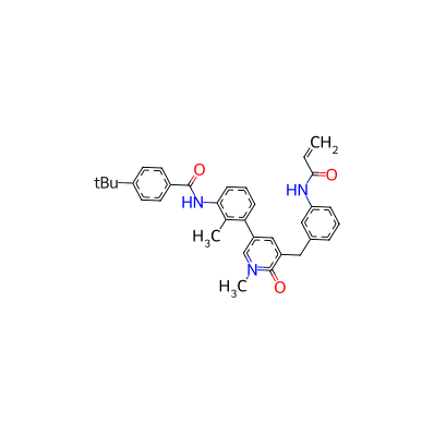 C=CC(=O)Nc1cccc(Cc2cc(-c3cccc(NC(=O)c4ccc(C(C)(C)C)cc4)c3C)cn(C)c2=O)c1